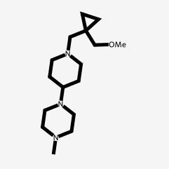 COCC1(CN2CCC(N3CCN(C)CC3)CC2)CC1